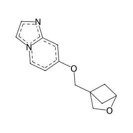 c1cn2ccc(OCC34COC(C3)C4)cc2n1